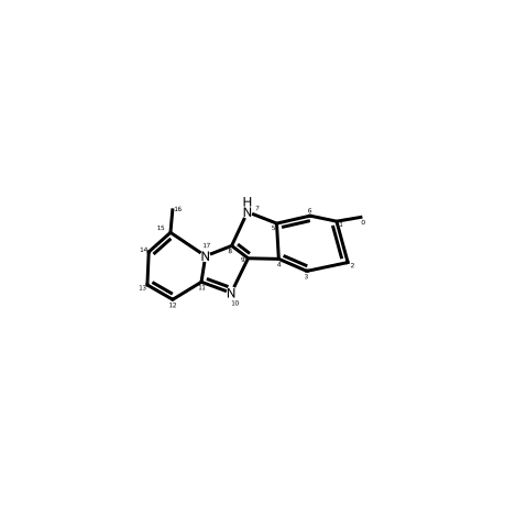 Cc1ccc2c(c1)[nH]c1c2nc2cccc(C)n21